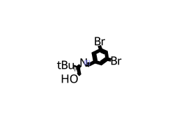 CC(C)(C)[C@H](CO)/N=C/c1cc(Br)cc(Br)c1